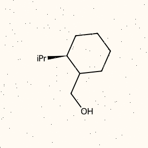 CC(C)[C@H]1CCCCC1CO